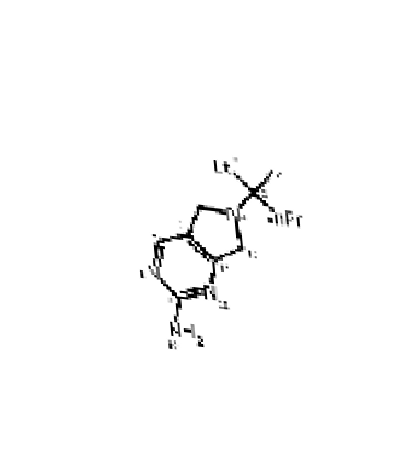 CCCC(C)(CC)N1Cc2cnc(N)nc2C1